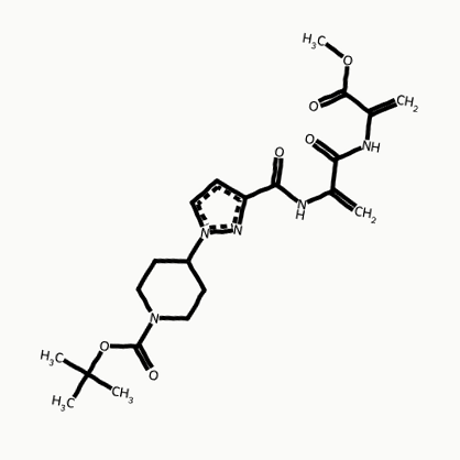 C=C(NC(=O)c1ccn(C2CCN(C(=O)OC(C)(C)C)CC2)n1)C(=O)NC(=C)C(=O)OC